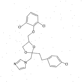 Clc1ccc(CCC2(Cn3ccnc3)OCC(COc3c(Cl)cccc3Cl)O2)cc1